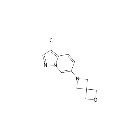 Clc1cnn2cc(N3CC4(COC4)C3)ccc12